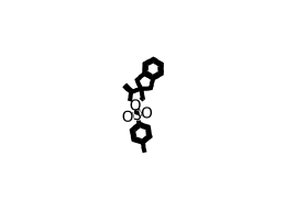 C=C(C)C1(COS(=O)(=O)c2ccc(C)cc2)Cc2ccccc2C1